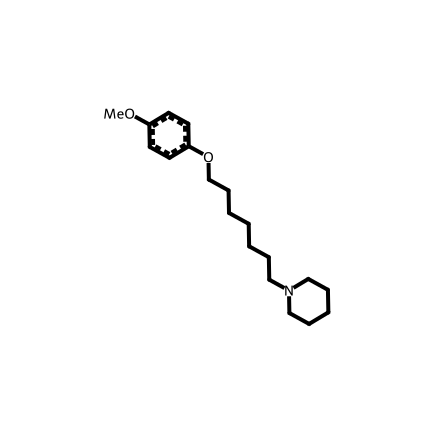 COc1ccc(OCCCCCCCN2CCCCC2)cc1